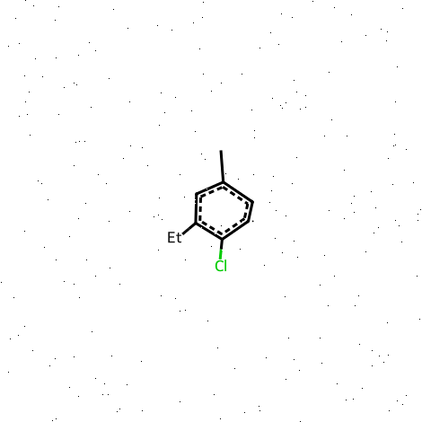 CCc1cc(C)c[c]c1Cl